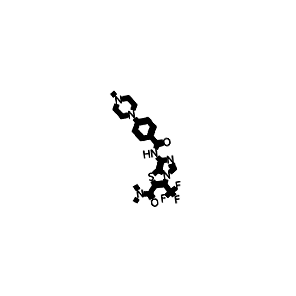 CN1CCN(c2ccc(C(=O)Nc3ncn4c(C(F)(F)F)c(C(=O)N(C)C)sc34)cc2)CC1